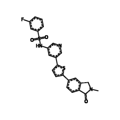 CN1Cc2cc(-c3ccc(-c4cncc(NS(=O)(=O)c5cccc(F)c5)c4)s3)ccc2C1=O